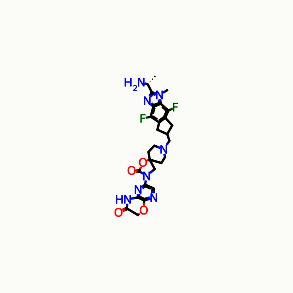 C[C@@H](N)c1nc2c(F)c3c(c(F)c2n1C)CC(CN1CCC2(CC1)CN(c1cnc4c(n1)NC(=O)CO4)C(=O)O2)C3